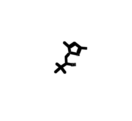 Cc1cc(C)n(CC(O)C(C)(C)C)n1